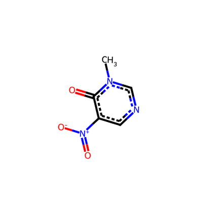 Cn1cncc([N+](=O)[O-])c1=O